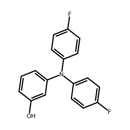 Oc1cccc(N(c2ccc(F)cc2)c2ccc(F)cc2)c1